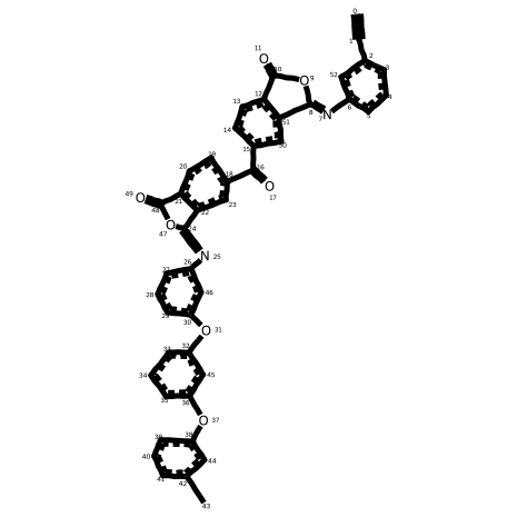 C#Cc1cccc(/N=C2\OC(=O)c3ccc(C(=O)c4ccc5c(c4)/C(=N/c4cccc(Oc6cccc(Oc7cccc(C)c7)c6)c4)OC5=O)cc32)c1